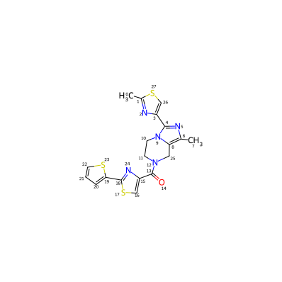 Cc1nc(-c2nc(C)c3n2CCN(C(=O)c2csc(-c4cccs4)n2)C3)cs1